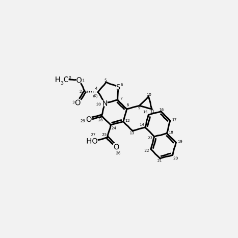 COC(=O)[C@@H]1CSc2c(C3CC3)c(Cc3cccc4ccccc34)c(C(=O)O)c(=O)n21